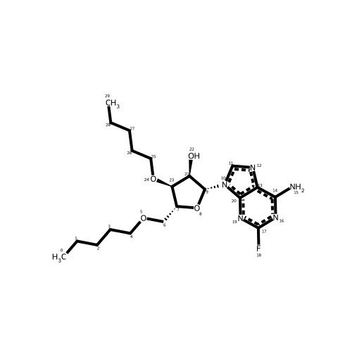 CCCCCOC[C@H]1O[C@@H](n2cnc3c(N)nc(F)nc32)[C@H](O)[C@@H]1OCCCCC